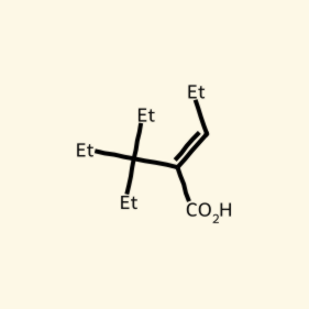 CCC=C(C(=O)O)C(CC)(CC)CC